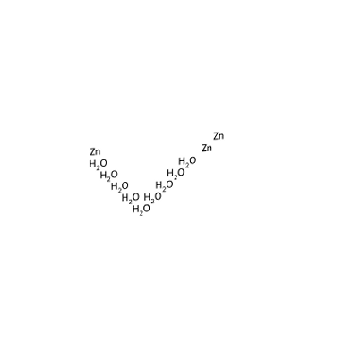 O.O.O.O.O.O.O.O.O.[Zn].[Zn].[Zn]